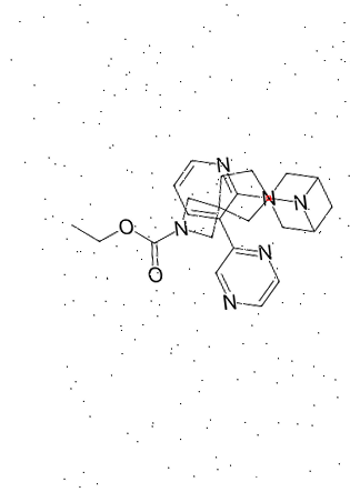 CCOC(=O)N1CC2(CCC(N3C4CC3CN(c3ncccc3-c3cnccn3)C4)C2)C1